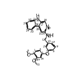 COc1ccc(Oc2cccc(CNc3cc4c(cn3)[nH]c3ccccc34)c2)cc1OC